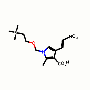 Cc1c(C(=O)O)c(C=C[N+](=O)[O-])cn1COCC[Si](C)(C)C